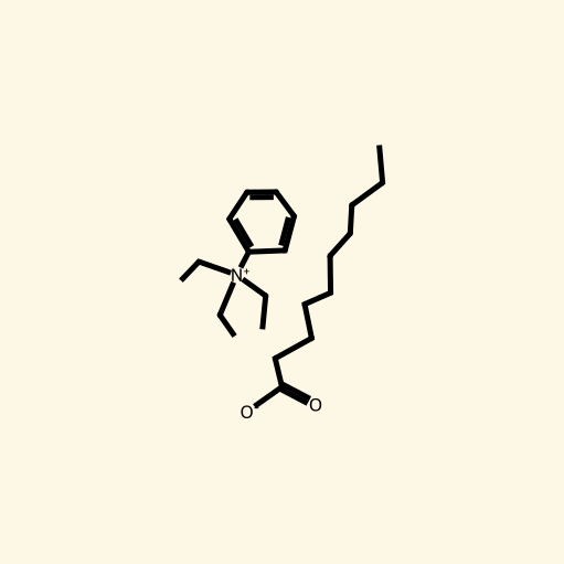 CCCCCCCCCC(=O)[O-].CC[N+](CC)(CC)c1ccccc1